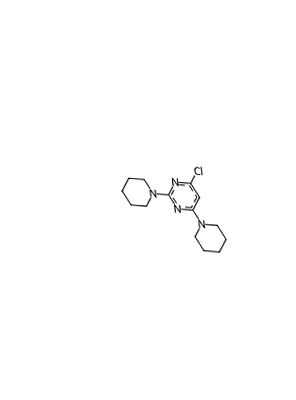 Clc1cc(N2CCCCC2)nc(N2CCCCC2)n1